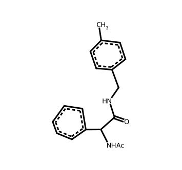 CC(=O)NC(C(=O)NCc1ccc(C)cc1)c1ccccc1